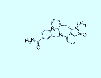 CN1C(=O)c2cccc3c2C1=Cc1cccnc1N3Cc1cccc(C(N)=O)c1